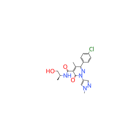 Cc1c(-c2ccc(Cl)cc2)nn(-c2cnn(C)c2)c(=O)c1C(=O)N[C@@H](C)CO